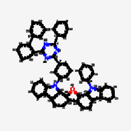 c1ccc(-c2nc(-c3cccc(-n4c5ccccc5c5ccc6c7ccc8c9ccccc9n(-c9ccccc9)c8c7oc6c54)c3)nc(-c3ccccc3-c3ccccc3)n2)cc1